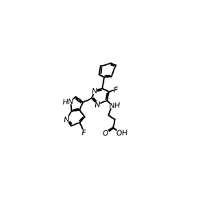 O=C(O)CCNc1nc(-c2c[nH]c3ncc(F)cc23)nc(-c2ccccc2)c1F